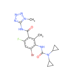 Cc1c(NC(=O)N(C2CC2)C2CC2)c(Br)cc(F)c1C(=O)Nc1nnnn1C